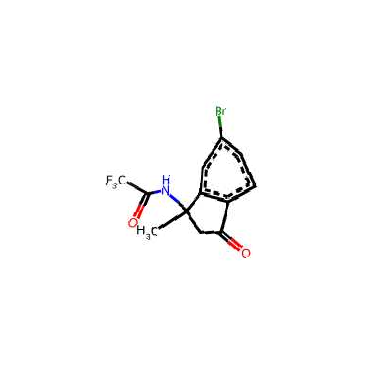 CC1(NC(=O)C(F)(F)F)CC(=O)c2ccc(Br)cc21